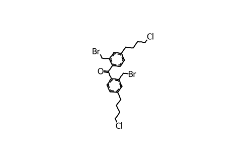 O=C(c1ccc(CCCCCl)cc1CBr)c1ccc(CCCCCl)cc1CBr